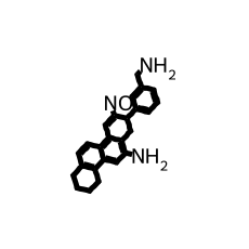 NCc1cccc(C2Cc3c(N)cc4c5c(ccc4c3C=C2N=O)CCCC5)c1